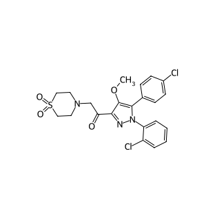 COc1c(C(=O)CN2CCS(=O)(=O)CC2)nn(-c2ccccc2Cl)c1-c1ccc(Cl)cc1